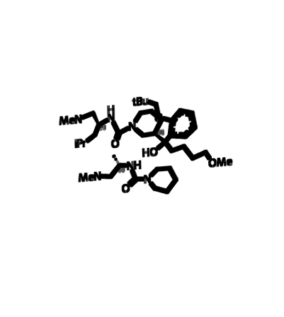 CNC[C@H](C)NC(=O)N1CCCCC1.CNC[C@H](CC(C)C)NC(=O)N1CCC[C@@H](C(O)(CCCCOC)c2ccccc2OCC(C)(C)C)C1